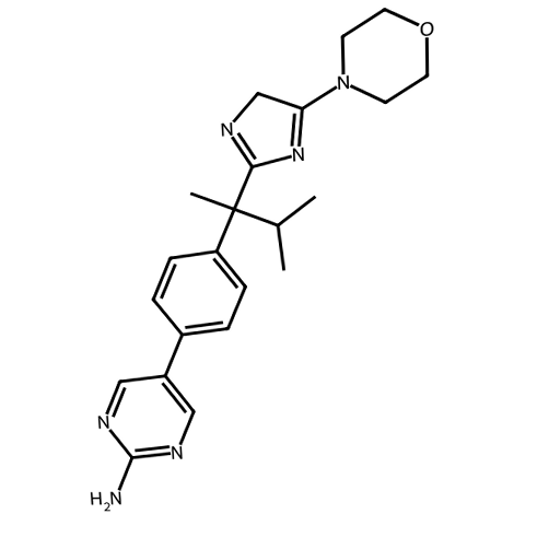 CC(C)C(C)(C1=NCC(N2CCOCC2)=N1)c1ccc(-c2cnc(N)nc2)cc1